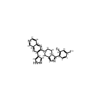 Fc1ccc(-c2ncc3n2CCN(c2nc4ccncc4nc2-c2cn[nH]c2)C3)c(F)c1